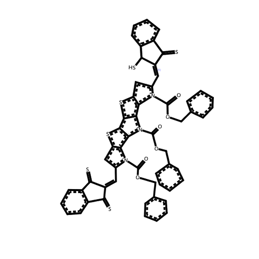 O=C(OCc1ccccc1)n1c(C=C2C(=S)c3ccccc3C2=S)cc2sc3c4sc5cc(/C=C6/C(=S)c7ccccc7C6S)n(C(=O)OCc6ccccc6)c5c4n(C(=O)OCc4ccccc4)c3c21